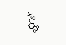 CC(C)(C)[N+]([O-])=Cc1ccc2c(c1)OCO2